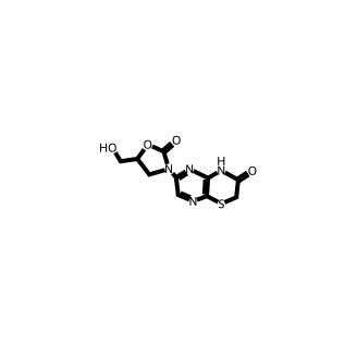 O=C1CSc2ncc(N3CC(CO)OC3=O)nc2N1